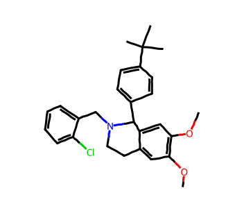 COc1cc2c(cc1OC)C(c1ccc(C(C)(C)C)cc1)N(Cc1ccccc1Cl)CC2